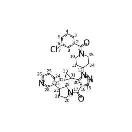 O=C(c1cccc(Cl)c1)N1CCC(n2ncc(C(=O)N3CCC(c4cccnc4)C3)c2C2CC2)CC1